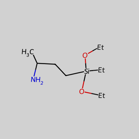 CCO[Si](CC)(CCC(C)N)OCC